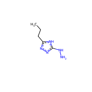 CCCc1nnc(NN)[nH]1